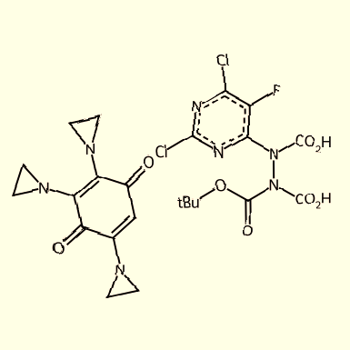 CC(C)(C)OC(=O)N(C(=O)O)N(C(=O)O)c1nc(Cl)nc(Cl)c1F.O=C1C=C(N2CC2)C(=O)C(N2CC2)=C1N1CC1